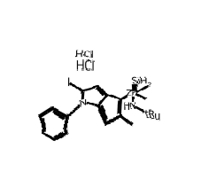 CC1=[C]([Zr]([CH3])([CH3])(=[SiH2])[NH]C(C)(C)C)C2=CC(I)N(c3ccccc3)C2=C1.Cl.Cl